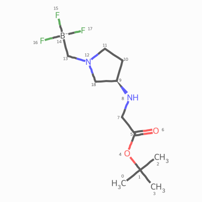 CC(C)(C)OC(=O)CN[C@@H]1CCN(C[B-](F)(F)F)C1